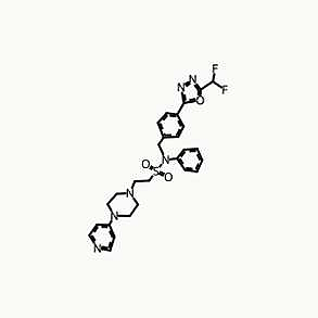 O=S(=O)(CCN1CCN(c2ccncc2)CC1)N(Cc1ccc(-c2nnc(C(F)F)o2)cc1)c1ccccc1